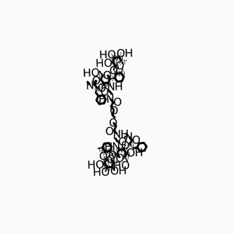 C[C@@H]1O[C@@H](O[C@@H]2[C@@H](C)CCC[C@H]2O[C@@H]2O[C@H](CO)[C@H](O)[C@H](O[C@@H](CC3CCCCC3)C(=O)N(C)C)[C@H]2NC(=O)CNC(=O)COCCOCC(=O)NCC(=O)N[C@@H]2[C@@H](O[C@@H](CC3CCCCC3)C(=O)N(C)C)C[C@@H](CO)O[C@H]2C2CCC[C@H](C)[C@H]2O[C@@H]2O[C@@H](C)[C@@H](O)[C@@H](O)[C@@H]2O)[C@@H](O)[C@H](O)[C@@H]1O